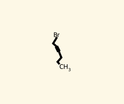 CCCC#CCCBr